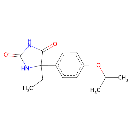 CCC1(c2ccc(OC(C)C)cc2)NC(=O)NC1=O